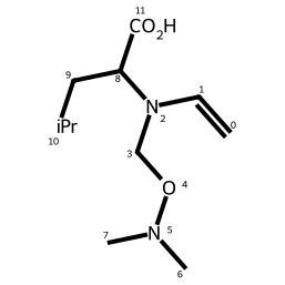 C=CN(CON(C)C)C(CC(C)C)C(=O)O